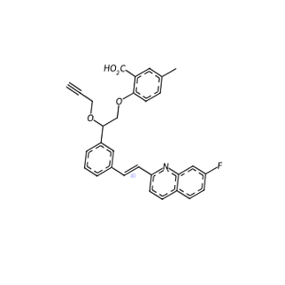 C#CCOC(COc1ccc(C)cc1C(=O)O)c1cccc(/C=C/c2ccc3ccc(F)cc3n2)c1